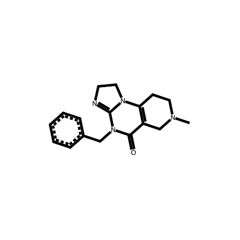 CN1CCC2=C(C1)C(=O)N(Cc1ccccc1)C1=NCCN12